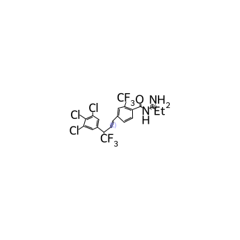 CC[C@H](N)NC(=O)c1ccc(/C=C/C(c2cc(Cl)c(Cl)c(Cl)c2)C(F)(F)F)cc1C(F)(F)F